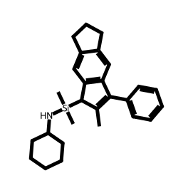 CC1=C(c2ccccc2)c2cc3c(cc2C1[Si](C)(C)NC1CCCCC1)CCC3